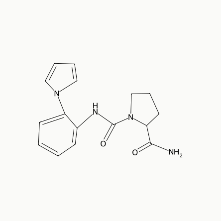 NC(=O)C1CCCN1C(=O)Nc1ccccc1-n1cccc1